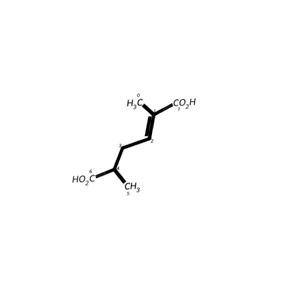 CC(=CCC(C)C(=O)O)C(=O)O